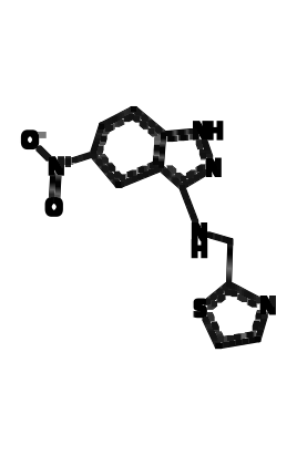 O=[N+]([O-])c1ccc2[nH]nc(NCc3nccs3)c2c1